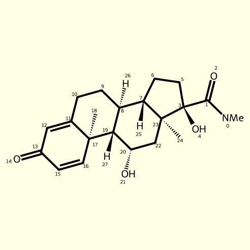 CNC(=O)[C@@]1(O)CC[C@H]2[C@@H]3CCC4=CC(=O)C=C[C@]4(C)[C@H]3[C@@H](O)C[C@@]21C